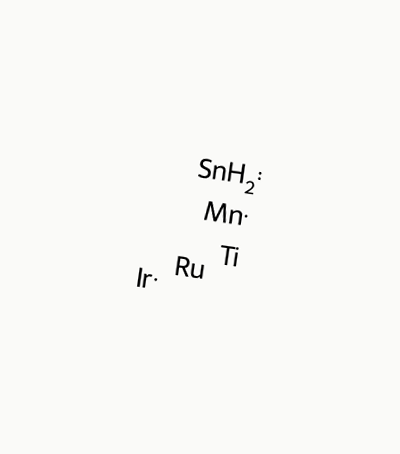 [Ir].[Mn].[Ru].[SnH2].[Ti]